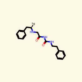 [2H][C@H](Cc1ccccc1)NCC(=O)NC(=O)NCCc1ccccc1